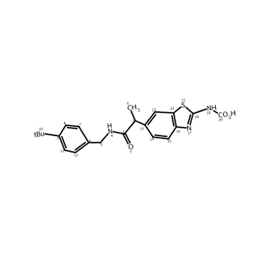 CC(C(=O)NCc1ccc(C(C)(C)C)cc1)c1ccc2nc(NC(=O)O)sc2c1